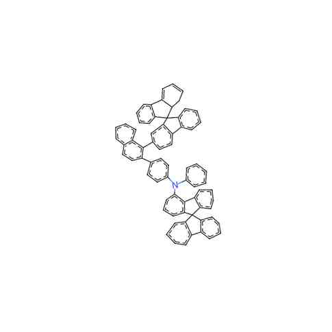 C1=CCC2C(=C1)c1ccccc1C21c2ccccc2-c2ccc(-c3c(-c4ccc(N(c5ccccc5)c5cccc6c5-c5ccccc5C65c6ccccc6-c6ccccc65)cc4)ccc4ccccc34)cc21